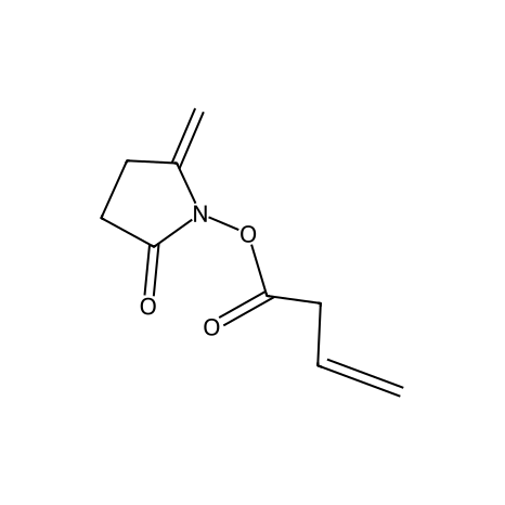 C=CCC(=O)ON1C(=C)CCC1=O